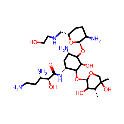 C[C@@H]1C(O)[C@@H](OC2C(O)C(O[C@H]3O[C@H](CNCCO)CCC3N)[C@@H](N)C[C@H]2NC(=O)[C@@H](O)[C@@H](N)CCN)OCC1(C)O